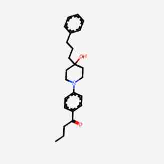 CCCC(=O)c1ccc(N2CCC(O)(CCCc3ccccc3)CC2)cc1